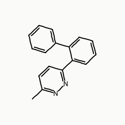 Cc1ccc(-c2ccccc2-c2ccccc2)nn1